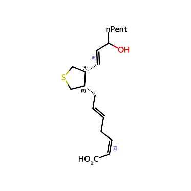 CCCCCC(O)/C=C/[C@H]1CSC[C@H]1CC=CC/C=C\C(=O)O